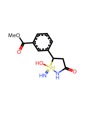 COC(=O)c1cccc(C2CC(=O)N[SH]2(=N)O)c1